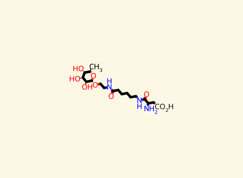 C[C@@H]1O[C@@H](OCCNC(=O)CCCCCNC(=O)C(N)CC(=O)O)[C@@H](O)[C@H](O)[C@@H]1O